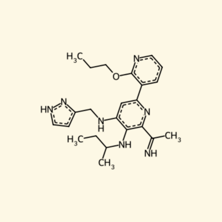 CCCOc1ncccc1-c1cc(NCc2cc[nH]n2)c(NC(C)CC)c(C(C)=N)n1